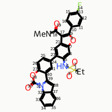 CCS(=O)(=O)Nc1cc2oc(-c3ccc(F)cc3)c(C(=O)NC)c2cc1-c1ccc2oc(=O)n3c4ccccc4cc3c2c1